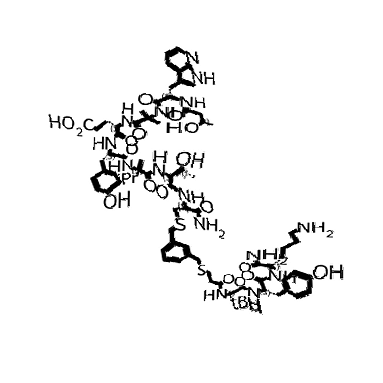 CC(C)[C@](C)(NC(=O)[C@H](Cc1ccc(O)cc1)NC(=O)[C@H](CCC(=O)O)NC(=O)C(C)(C)NC(=O)[C@H](Cc1c[nH]c2ncccc12)NC(=O)C[C@@H](C)O)C(=O)N[C@H](C(=O)N[C@H](CSCc1cccc(CSCCC(=O)N[C@H](C(=O)N[C@@H](Cc2ccc(O)cc2)C(=O)N[C@@H](CCCCN)C(N)=O)C(C)(C)C)c1)C(N)=O)[C@@H](C)O